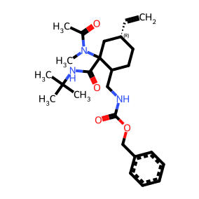 C=C[C@@H]1CCC(CNC(=O)OCc2ccccc2)C(C(=O)NC(C)(C)C)(N(C)C(C)=O)C1